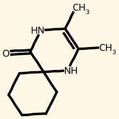 CC1=C(C)NC2(CCCCC2)C(=O)N1